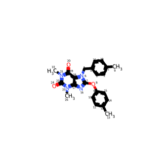 Cc1ccc(Cn2c(Oc3ccc(C)cc3)nc3c2c(=O)n(C)c(=O)n3C)cc1